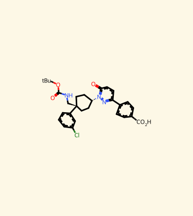 CC(C)(C)OC(=O)NC[C@]1(c2cccc(Cl)c2)CC[C@@H](n2nc(-c3ccc(C(=O)O)cc3)ccc2=O)CC1